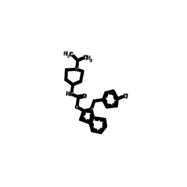 CC(C)N1CCC(NC(=O)Oc2cc3ccccc3n2Cc2ccc(Cl)cc2)CC1